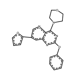 c1ccc(Oc2nc(N3CCOCC3)c3ncc(-c4ccco4)cc3n2)cc1